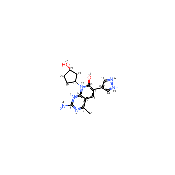 Cc1nc(N)nc2c1cc(-c1cn[nH]c1)c(=O)n2[C@@H]1CC[C@@H](O)C1